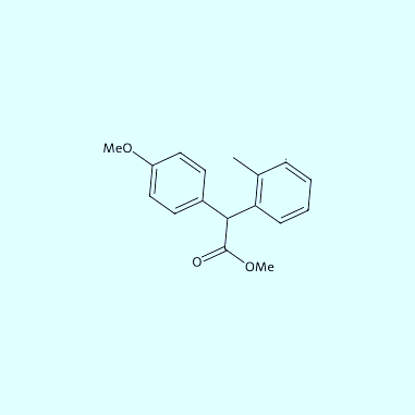 COC(=O)C(c1ccc(OC)cc1)c1ccc[c]c1C